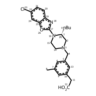 CCCC[C@@H]1CN(Cc2cc(C)cc(CC(=O)O)c2)CCN1c1nc2ccc(Cl)cc2o1